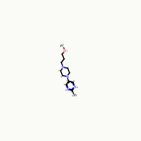 CC(C)OCCCN1CCN(c2cnc(C(C)C)nc2)CC1